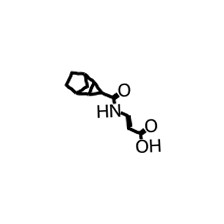 O=C(O)C=CNC(=O)C1C2C3CCC(C3)C12